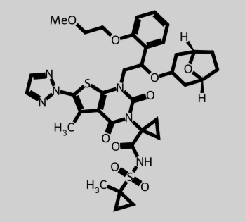 COCCOc1ccccc1C(Cn1c(=O)n(C2(C(=O)NS(=O)(=O)C3(C)CC3)CC2)c(=O)c2c(C)c(-n3nccn3)sc21)OC1C[C@H]2CC[C@@H](C1)O2